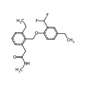 CCc1ccc(OCc2c(CC)cccc2CC(=O)NC)c(C(F)F)c1